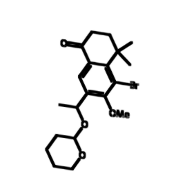 COc1c(C(C)OC2CCCCO2)cc2c(c1Br)C(C)(C)CCC2=O